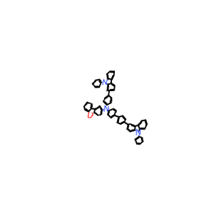 c1ccc(-n2c3ccccc3c3cc(-c4ccc(-c5ccc(N(c6ccc(-c7ccc8c9ccccc9n(-c9ccccc9)c8c7)cc6)c6ccc7oc8ccccc8c7c6)cc5)cc4)ccc32)cc1